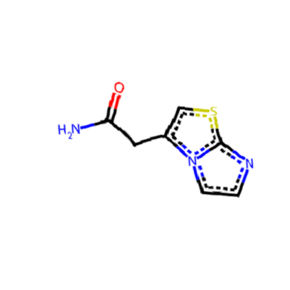 NC(=O)Cc1csc2nccn12